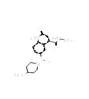 CCCCNC(=O)c1cc(=O)[nH]c2ccc([S+]([O-])N3CCC(C)CC3)cc12